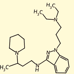 CCN(CC)CCCn1nc(NCCC(C)N2CCCCC2)c2ccccc21